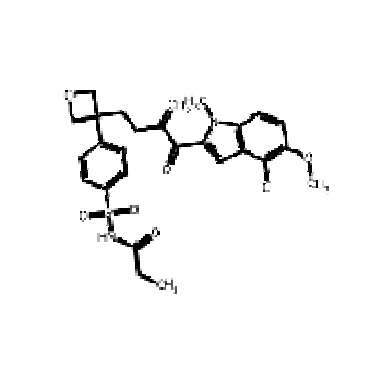 C=C(CCC1(c2ccc(S(=O)(=O)NC(=O)CC)cc2)COC1)C(=O)c1cc2c(Cl)c(OC)ccc2n1C